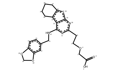 O=C(O)COCCc1nc(NCc2ccc3c(c2)OCO3)c2c3c(sc2n1)CCCC3